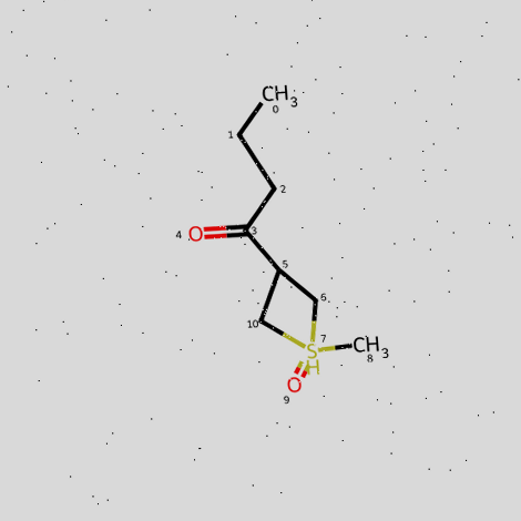 CCCC(=O)C1C[SH](C)(=O)C1